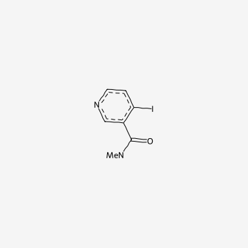 CNC(=O)c1cnccc1I